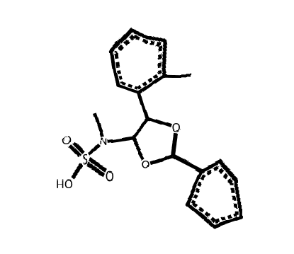 Cc1ccccc1C1OC(c2ccccc2)OC1N(C)S(=O)(=O)O